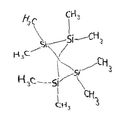 C[Si]1(C)C2([Si]1(C)C)[Si](C)(C)[Si]2(C)C